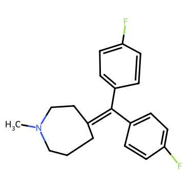 CN1CCCC(=C(c2ccc(F)cc2)c2ccc(F)cc2)CC1